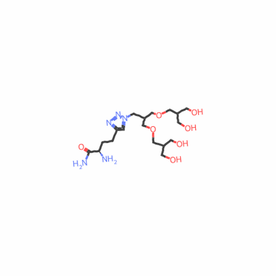 NC(=O)[C@H](N)CCc1cn(CC(COCC(CO)CO)COCC(CO)CO)nn1